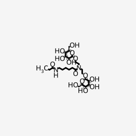 CCC(=O)NCCCCCC(=O)N(CCO[C@H]1O[C@H](CO)[C@@H](O)[C@H](O)[C@@H]1O)CCO[C@H]1O[C@H](CO)[C@@H](O)[C@H](O)[C@@H]1O